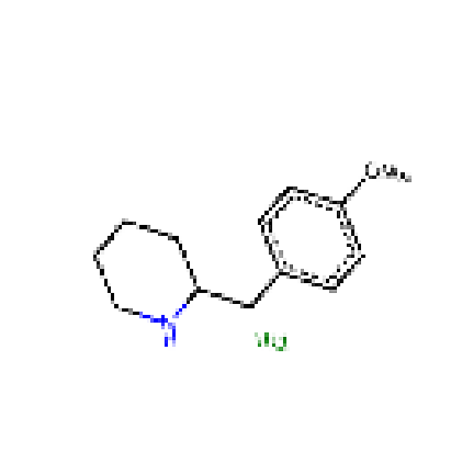 COc1ccc(CC2CCCCN2)cc1.Cl